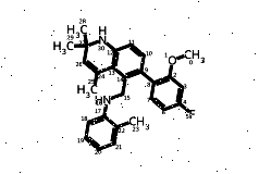 COc1cc(F)ccc1-c1ccc2c(c1CNc1ccccc1C)C(C)=CC(C)(C)N2